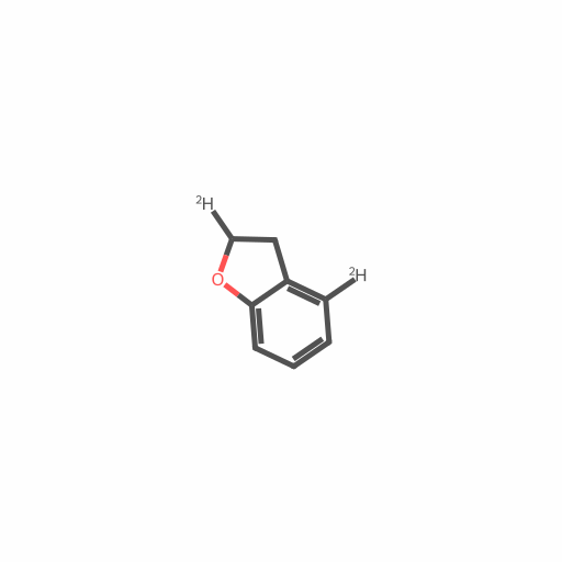 [2H]c1cccc2c1CC([2H])O2